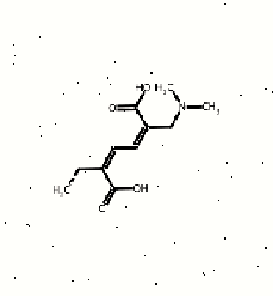 CCC(=CC=C(CN(C)C)C(=O)O)C(=O)O